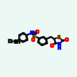 CCBc1ccc(NS(=O)(=O)c2cccc(CC3SC(=O)NC3=O)c2)cc1